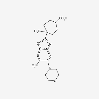 CC1(c2nc3cc(N4CCOCC4)c([N+](=O)[O-])cc3o2)CCC(C(=O)O)CC1